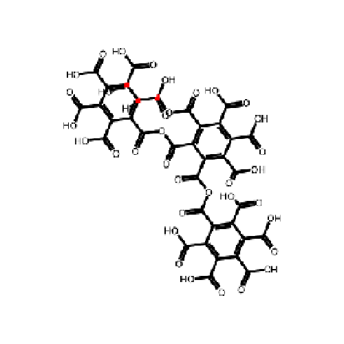 O=C(O)c1c(C(=O)O)c(C(=O)O)c(C(=O)OC(=O)c2c(C(=O)O)c(C(=O)O)c(C(=O)O)c(C(=O)OCC(O)CO)c2C(=O)OC(=O)c2c(C(=O)O)c(C(=O)O)c(C(=O)O)c(C(=O)O)c2C(=O)O)c(C(=O)O)c1C(=O)O